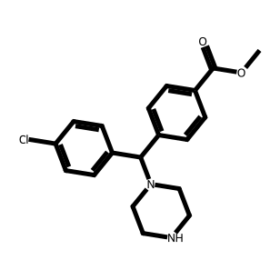 COC(=O)c1ccc(C(c2ccc(Cl)cc2)N2CCNCC2)cc1